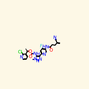 C=C(C#N)CCC(=O)Nc1cnc(-c2nnn(C)c2NC(=O)O[C@H](C)c2cccnc2Cl)cc1F